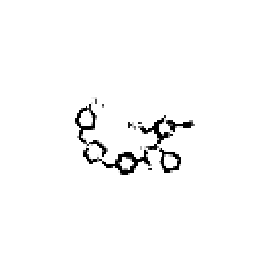 C=Cc1cnc(C#N)nc1N(NC(=O)c1ccc(CN2CCN(CC3CCN(C)CC3)CC2)cc1)C1CCCCC1